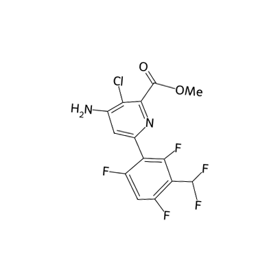 COC(=O)c1nc(-c2c(F)cc(F)c(C(F)F)c2F)cc(N)c1Cl